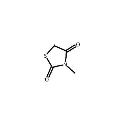 CN1C(=O)[CH]SC1=O